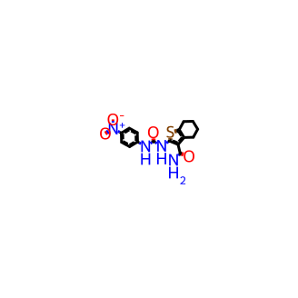 NC(=O)c1c(NC(=O)Nc2ccc([N+](=O)[O-])cc2)sc2c1CCCC2